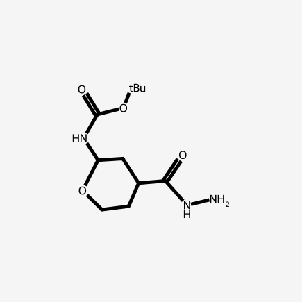 CC(C)(C)OC(=O)NC1CC(C(=O)NN)CCO1